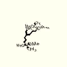 CO[Si](C)(CCCC(CN)CCC[Si](C)(OC)OC)OC